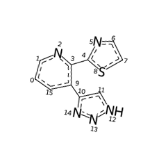 c1cnc(-c2nccs2)c(-c2c[nH]nn2)c1